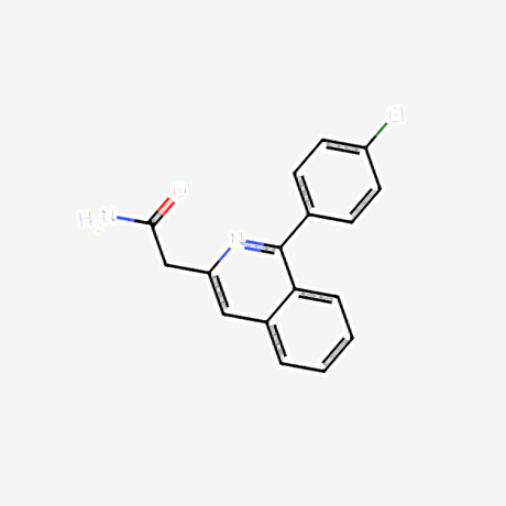 NC(=O)Cc1cc2ccccc2c(-c2ccc(Cl)cc2)n1